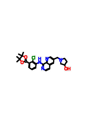 CC1(C)OB(c2cccc(Nc3nccc4cc(CN5CCC(O)C5)cnc34)c2Cl)OC1(C)C